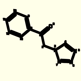 O=C(Cn1cnnn1)c1ccccc1